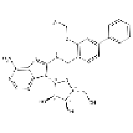 CCOc1cc(-c2ccccc2)ccc1CNc1nc2c(N)ncnc2n1[C@@H]1O[C@H](CO)[C@@H](O)[C@H]1O